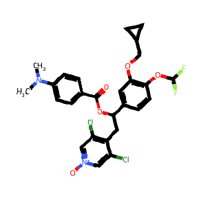 CN(C)c1ccc(C(=O)OC(Cc2c(Cl)c[n+]([O-])cc2Cl)c2ccc(OC(F)F)c(OCC3CC3)c2)cc1